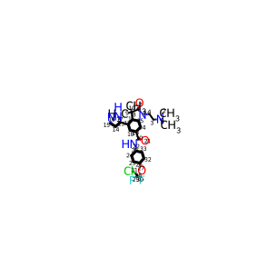 CN(C)CCN1C(=O)C(C)(C)c2c(-c3ccn[nH]3)cc(C(=O)Nc3ccc(OC(F)(F)Cl)cc3)cc21